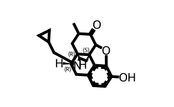 CC1C[C@H]2[C@H]3Cc4ccc(O)c5c4[C@@]2(CCN3CC2CC2)C(O5)C1=O